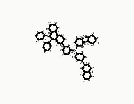 c1ccc(-c2c(-c3ccccc3)c3cc(-c4cccc(N(c5ccc(-c6ccc7ccccc7c6)cc5)c5ccc6sc7ccccc7c6c5)c4)ccc3c3ccccc23)cc1